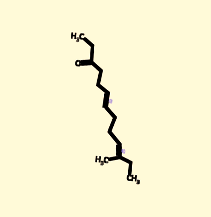 CCC(=O)CC/C=C/CC/C=C(\C)CC